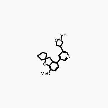 COc1ccc(-c2cncc(C3COB(O)C3)c2)c2c1OC1(CCCC1)C2